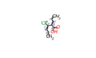 C=C/C=C(C(=O)O)\C(Cl)=C/CC